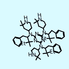 CCC(C)(C)C(Cc1ccccc1)N(c1nc(N(C2CCNC(C)(C)C2)C(Cc2ccccc2)C(C)(C)CC)nc(N(C2CCNC(C)(C)C2)C(Cc2ccccc2)C(C)(C)CC)n1)C1CCNC(C)(C)C1